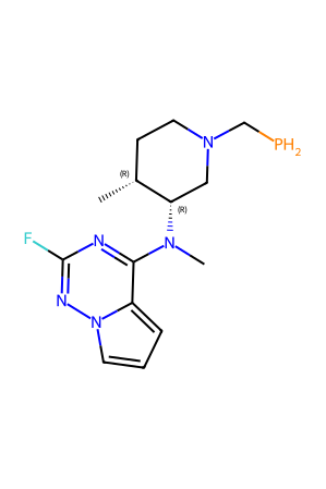 C[C@@H]1CCN(CP)C[C@@H]1N(C)c1nc(F)nn2cccc12